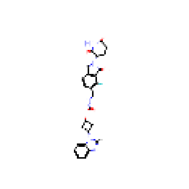 O=C1CC[C@H](N2Cc3ccc(CNC(=O)OC4CC(n5c(C(F)(F)F)nc6ccccc65)C4)c(F)c3C2=O)C(=O)N1